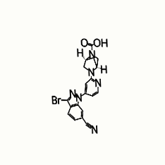 N#Cc1ccc2c(Br)nn(-c3ccnc(N4C[C@@H]5C[C@H]4CN5C(=O)O)c3)c2c1